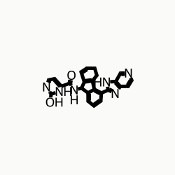 O=C(NC1C2=C(CCC=C2)c2c(-c3nc4ccncc4[nH]3)cccc21)C1=CC=NC(O)N1